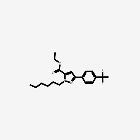 CCCCCCn1nc(-c2ccc(C(F)(F)F)cc2)cc1C(=O)OCC